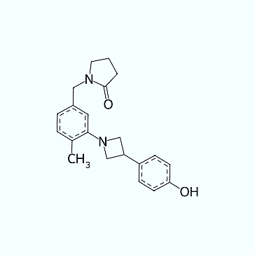 Cc1ccc(CN2CCCC2=O)cc1N1CC(c2ccc(O)cc2)C1